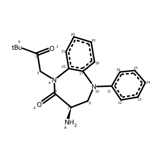 CC(C)(C)C(=O)CN1C(=O)[C@H](N)CN(c2ccccc2)c2ccccc21